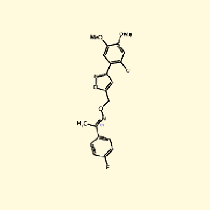 COc1cc(Cl)c(-c2cc(CO/N=C(\C)c3ccc(F)cc3)on2)cc1OC